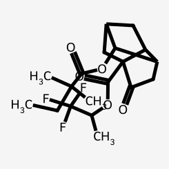 CCC(C)(C)C(=O)OC1C2CC3C1CC(=O)C3(C(=O)OC(C)C(F)(F)F)C2